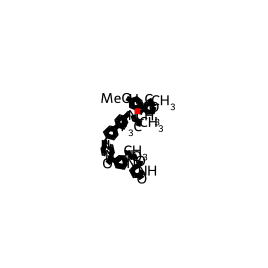 COc1ccc([C@]2(CCN(Cc3ccc(C4=CC[C@H](CN5CCN(C(=O)c6ccc7c(c6)n(C)c(=O)n7[C@H]6CCC(=O)NC6=O)CC5)CC4)cc3)CC(C)(C)C(F)(F)F)CCOC(C)(C)C2)cc1